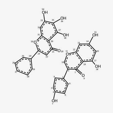 O=c1c(-c2ccc(O)cc2)coc2cc(O)cc(O)c12.O=c1cc(-c2ccccc2)oc2cc(O)c(O)c(O)c12